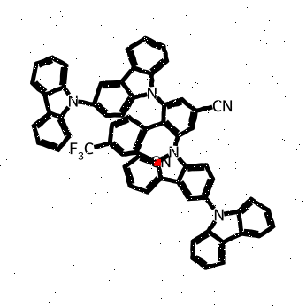 N#Cc1cc(-n2c3ccccc3c3cc(-n4c5ccccc5c5ccccc54)ccc32)c(-c2ccc(C(F)(F)F)cc2C#N)c(-n2c3ccccc3c3cc(-n4c5ccccc5c5ccccc54)ccc32)c1